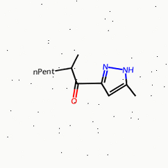 CCCCCC(C)C(=O)c1cc(C)[nH]n1